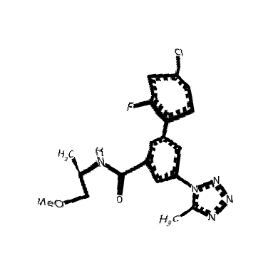 COC[C@@H](C)NC(=O)c1cc(-c2ccc(Cl)cc2F)cc(-n2nnnc2C)c1